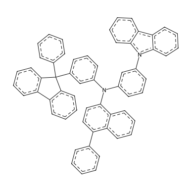 c1ccc(-c2ccc(N(c3cccc(-n4c5ccccc5c5ccccc54)c3)c3cccc(C4(c5ccccc5)c5ccccc5-c5ccccc54)c3)c3ccccc23)cc1